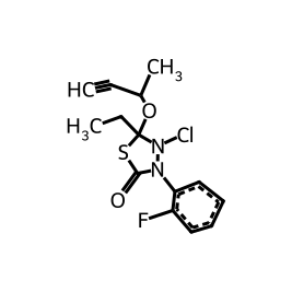 C#CC(C)OC1(CC)SC(=O)N(c2ccccc2F)N1Cl